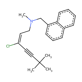 CN(C/C=C(/Cl)C#CC(C)(C)C)Cc1cccc2ccccc12